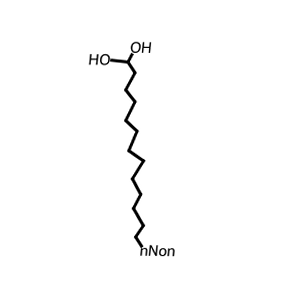 CCCCCCCCCCCCCCCCCCCCCC(O)O